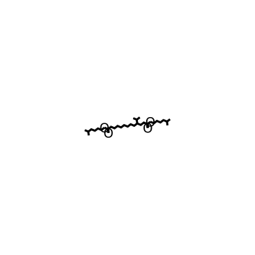 CC(C)CCCCOC(=O)CCCCCCCCC(CCC(=O)OCCCCC(C)C)C(C)C